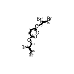 O=C(/C=C\C(=O)OCC(Br)=CBr)OCC(Br)=CBr